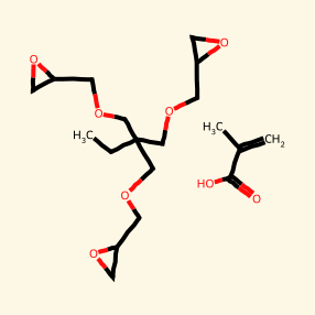 C=C(C)C(=O)O.CCC(COCC1CO1)(COCC1CO1)COCC1CO1